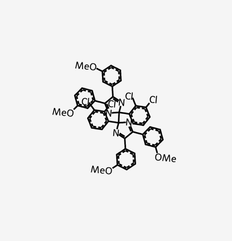 COc1cccc(C2=NC(c3cccc(Cl)c3Cl)(C3(c4cccc(Cl)c4Cl)N=C(c4cccc(OC)c4)C(c4cccc(OC)c4)=N3)N=C2c2cccc(OC)c2)c1